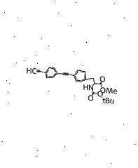 C#Cc1ccc(C#Cc2ccc(CC(NC(=O)OC(C)(C)C)C(=O)OC)cc2)cc1